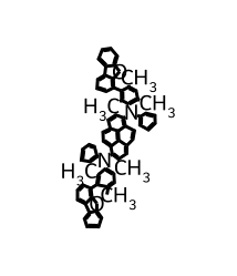 Cc1cc(C)c(N(c2ccccc2)c2ccc3ccc4c(N(c5ccccc5)c5c(C)cc(C)c(-c6cccc7c6oc6ccccc67)c5C)ccc5ccc2c3c54)c(C)c1-c1cccc2c1oc1ccccc12